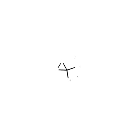 CC1(O)OO1.[Ni].[Zr]